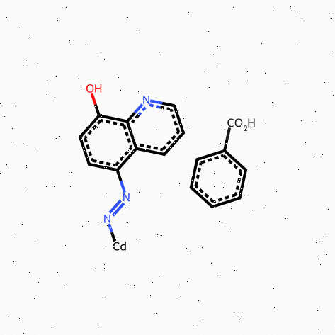 O=C(O)c1ccccc1.Oc1ccc(N=[N][Cd])c2cccnc12